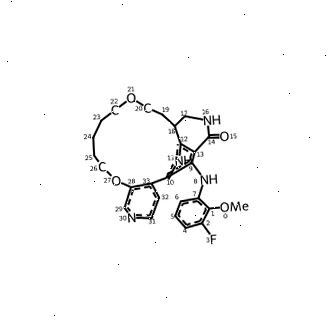 COc1c(F)cccc1Nc1c2[nH]c3c1C(=O)NCC3CCOCCCCCOc1cnccc1-2